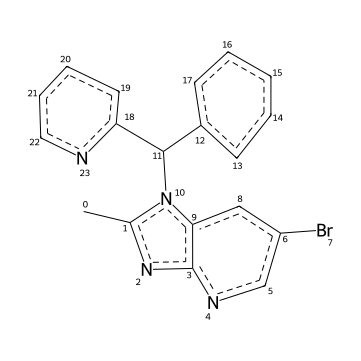 Cc1nc2ncc(Br)cc2n1C(c1ccccc1)c1ccccn1